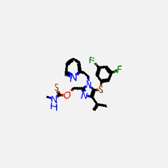 CNC(=S)OCc1nc(C(C)C)c(Sc2cc(F)cc(F)c2)n1Cc1ccccn1